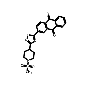 CS(=O)(=O)N1CCC(c2noc(-c3ccc4c(c3)C(=O)c3ccccc3C4=O)n2)CC1